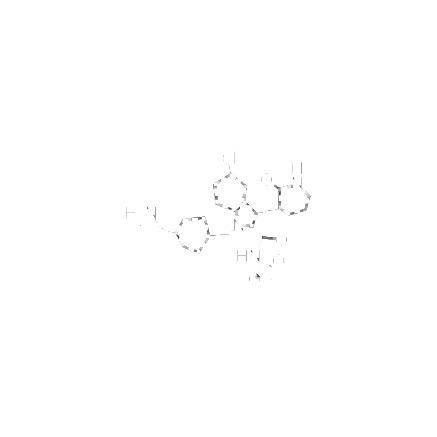 CS(=O)(=O)NC(=O)c1c(-c2ccc[nH]c2=O)c2cc(Cl)ccc2n1Cc1ccc(CN)cc1